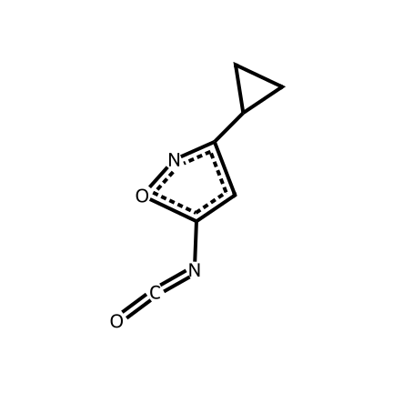 O=C=Nc1cc(C2CC2)no1